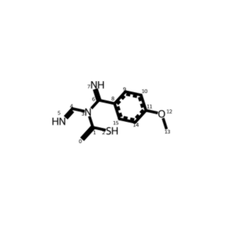 C=C(S)N(C=N)C(=N)c1ccc(OC)cc1